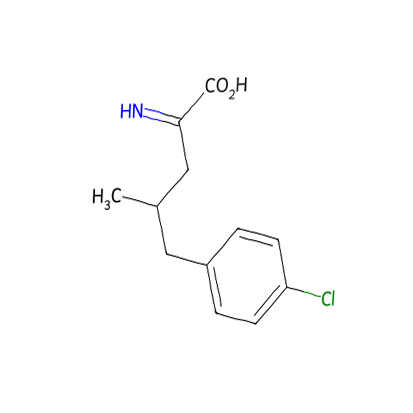 CC(CC(=N)C(=O)O)Cc1ccc(Cl)cc1